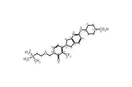 C[Si](C)(C)CCOCn1ncc(N2Cc3ccc(OC4CCN(C(=O)O)CC4)nc3C2)c(C(F)(F)F)c1=O